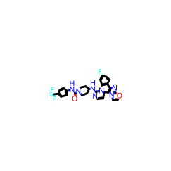 O=C(Nc1ccc(C(F)(F)F)cc1)N1CCC(Nc2nccc(-c3c(-c4ccc(F)cc4)nc4occn34)n2)CC1